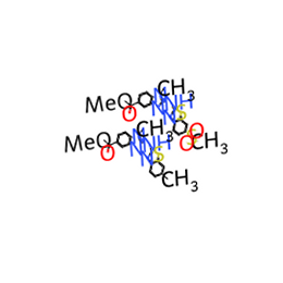 COC(=O)c1ccc2c(c1)nc(Nc1nc3ccc(C)cc3s1)n2C.COC(=O)c1ccc2c(c1)nc(Nc1nc3ccc(S(C)(=O)=O)cc3s1)n2C